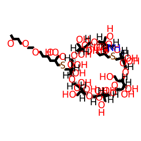 CCC(CSCC1O[C@@H]2O[C@@H]3C(CO)O[C@H](O[C@@H]4C(CO)O[C@H](O[C@@H]5C(CO)O[C@H](O[C@@H]6C(CSCC(CC(=O)CCOCCOCCC(C)=O)C(=O)O)O[C@H](O[C@@H]7C(CO)O[C@H](O[C@@H]8C(CO)O[C@H](O[C@H]1[C@H](O)C2O)C(O)[C@H]8O)C(O)[C@H]7O)C(O)[C@H]6O)C(O)[C@H]5O)C(O)[C@H]4O)C(O)[C@H]3O)C(N)=O